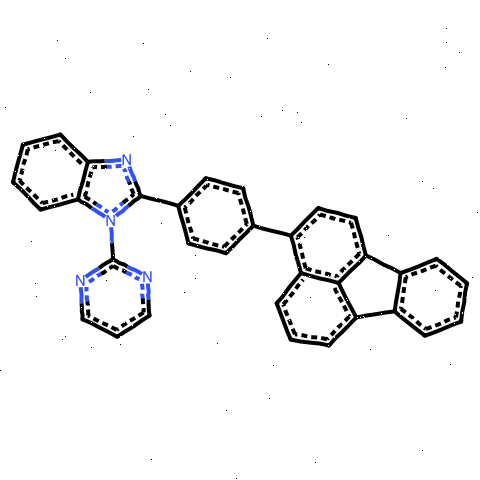 c1cnc(-n2c(-c3ccc(-c4ccc5c6c(cccc46)-c4ccccc4-5)cc3)nc3ccccc32)nc1